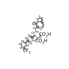 O=C(O)C=CC(=O)O.O=C1c2ccsc2SCCN1CCCCN1CCN(c2cccc(C(F)(F)F)c2)CC1